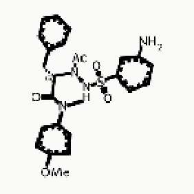 COc1ccc(N(C)C(=O)[C@H](Cc2ccccc2)N(NS(=O)(=O)c2cccc(N)c2)C(C)=O)cc1